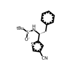 CC(C)(C)[S+]([O-])N[C@H](Cc1ccccc1)c1cc(C#N)cs1